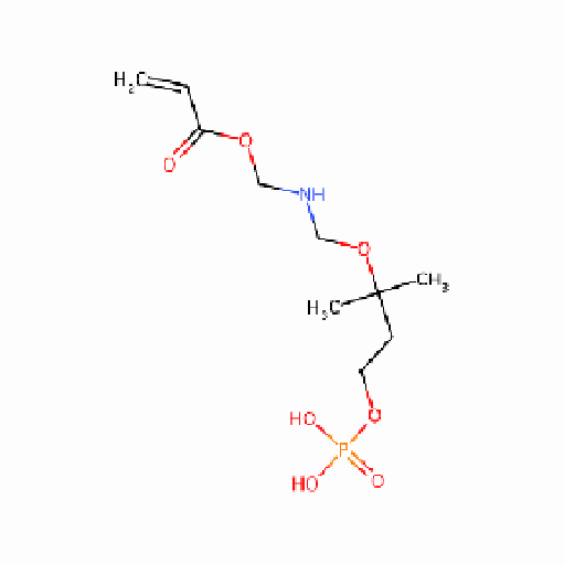 C=CC(=O)OCNCOC(C)(C)CCOP(=O)(O)O